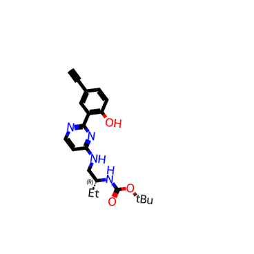 C#Cc1ccc(O)c(-c2nccc(NC[C@@H](CC)NC(=O)OC(C)(C)C)n2)c1